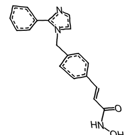 O=C(/C=C/c1ccc(Cn2ccnc2-c2ccccc2)cc1)NO